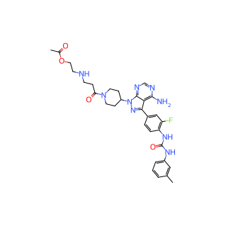 CC(=O)OCCNCCC(=O)N1CCC(n2nc(-c3ccc(NC(=O)Nc4cccc(C)c4)c(F)c3)c3c(N)ncnc32)CC1